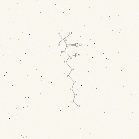 CCCCCCCCC(F)CC(=O)C(C)(C)C